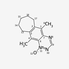 Cc1c2c(c(C)c3c1n[c]n[n+]3[O-])CCCCC2